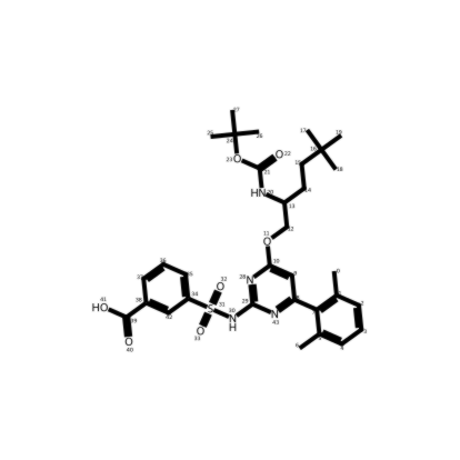 Cc1cccc(C)c1-c1cc(OCC(CCC(C)(C)C)NC(=O)OC(C)(C)C)nc(NS(=O)(=O)c2cccc(C(=O)O)c2)n1